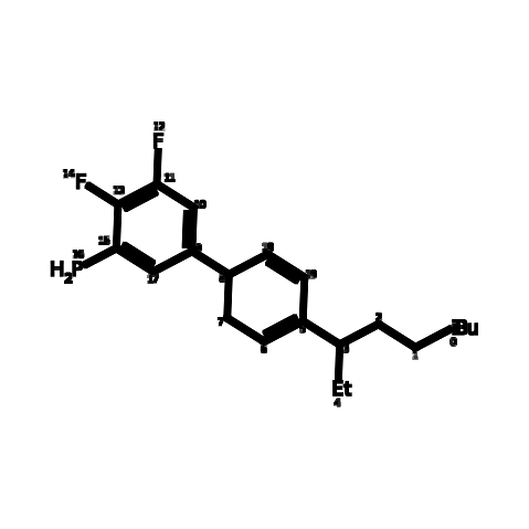 CCC(C)CCC(CC)C1=CCC(c2cc(F)c(F)c(P)c2)C=C1